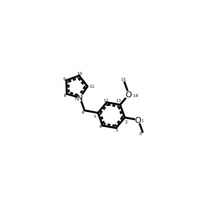 COc1ccc(Cn2cccc2)cc1OC